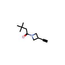 C#CC1CN(C(=O)CC(C)(C)C)C1